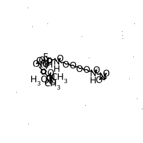 Cc1c(-c2ccc(C[C@H](NC(=O)c3c(F)cc(CNC(=O)CCOCCOCCOCCOCCNC(=O)CCN4C(=O)C=CC4=O)cc3F)C(=O)O)cc2)c(=O)n(C)c(=O)n1C